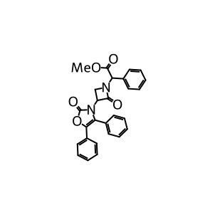 COC(=O)C(c1ccccc1)N1CC(n2c(-c3ccccc3)c(-c3ccccc3)oc2=O)C1=O